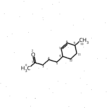 CC(=O)CCCC1C=CC(C)CC1